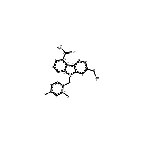 Cc1ccc(Cn2c3cc(CO)c[c]c3c3c(C(N)=O)cccc32)c(C)c1